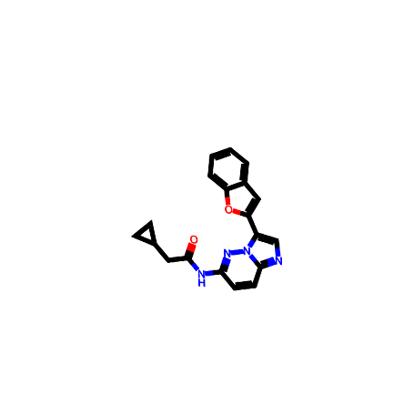 O=C(CC1CC1)Nc1ccc2ncc(-c3cc4ccccc4o3)n2n1